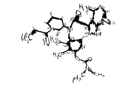 C=CC(=O)N1CCCC(N(C(=O)c2n[nH]c3ncnc(N)c23)c2ccc(OC(=O)N(C)C)c(C)c2C)C1